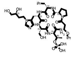 CC(C)C[C@H](NC(=O)[C@@H]1CCCN1C(=O)CCOC(C)C)C(=O)N[C@@H](Cc1cncn1CC[C@H](O)CO)C(=O)N[C@@H](CO)C(=O)N[C@H](C(N)=O)[C@@H](C)OP(=O)(O)O